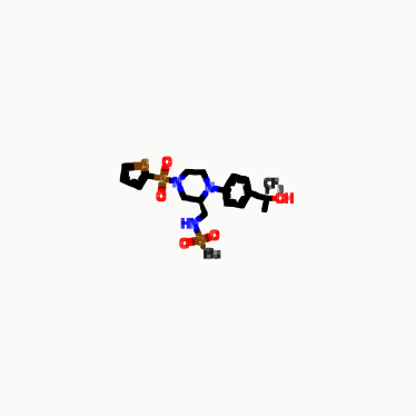 CC[C@H](C)S(=O)(=O)NC[C@H]1CN(S(=O)(=O)c2cccs2)CCN1c1ccc([C@](C)(O)C(F)(F)F)cc1